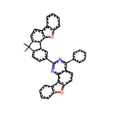 CC1(C)c2ccc(-c3nc(-c4ccccc4)c4ccc5oc6ccccc6c5c4n3)cc2-c2c1ccc1c2oc2ccccc21